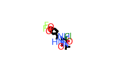 CC(Nc1[nH]c(=O)n(C(C)C)c(=O)c1Cl)c1ccc2c(c1)OC(F)(F)O2